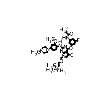 C=CC(=O)Nc1cc(F)cc(Oc2nc(Nc3ccc(N4CCN(C)CC4)cc3OC)nc3c2c(Cl)cn3COCC[Si](C)(C)C)c1